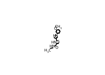 CCCNC(=O)C1=CSC(c2cnn(-c3cccc(OC)c3)c2)N1